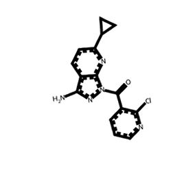 Nc1nn(C(=O)c2cccnc2Cl)c2nc(C3CC3)ccc12